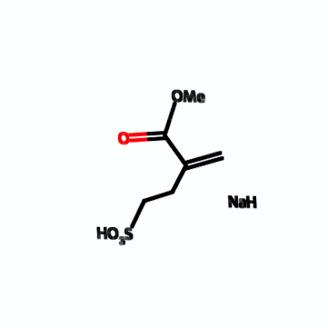 C=C(CCS(=O)(=O)O)C(=O)OC.[NaH]